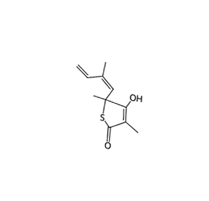 C=CC(C)=CC1(C)SC(=O)C(C)=C1O